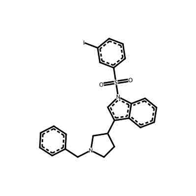 O=S(=O)(c1cccc(I)c1)n1cc(C2CCN(Cc3ccccc3)C2)c2ccccc21